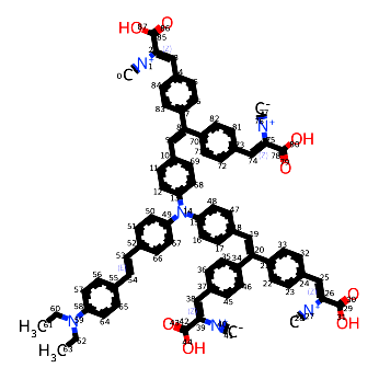 [C-]#[N+]/C(=C\c1ccc(C(=Cc2ccc(N(c3ccc(C=C(c4ccc(/C=C(\[N+]#[C-])C(=O)O)cc4)c4ccc(/C=C(\[N+]#[C-])C(=O)O)cc4)cc3)c3ccc(/C=C/c4ccc(N(CC)CC)cc4)cc3)cc2)c2ccc(/C=C(\[N+]#[C-])C(=O)O)cc2)cc1)C(=O)O